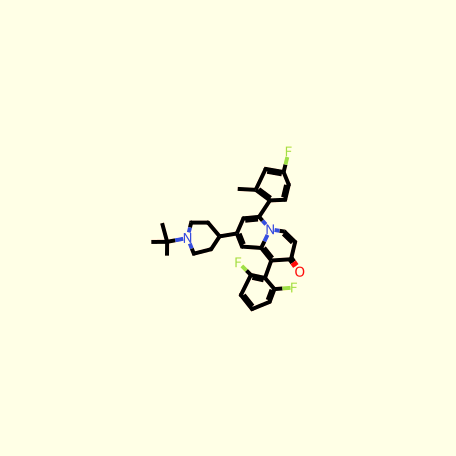 Cc1cc(F)ccc1-c1cc(C2CCN(C(C)(C)C)CC2)cc2c(-c3c(F)cccc3F)c(=O)ccn12